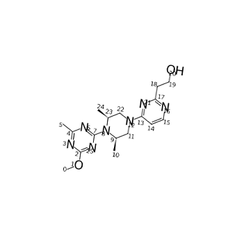 COc1nc(C)nc(N2[C@H](C)CN(c3ccnc(CCO)n3)C[C@@H]2C)n1